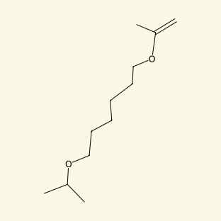 C=C(C)OCCCCCCOC(C)C